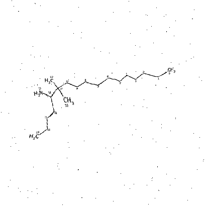 CCCCCCCCCCCC(C)(C)C(N)CCCC